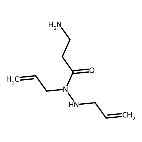 C=CCNN(CC=C)C(=O)CCN